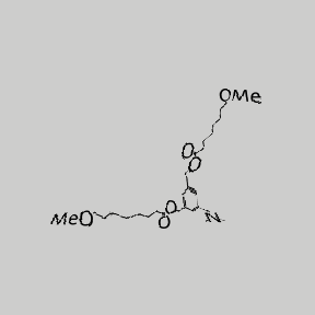 COCCCCCCCC(=O)OCc1cc(COC(=O)CCCCCCCOC)cc(CN(C)C)c1